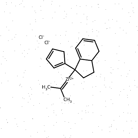 C[C](C)=[Zr+2][C]1(C2=CC=CC2)CCC2CC=CC=C21.[Cl-].[Cl-]